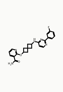 NC(=O)c1cccnc1OC1CC2(CC(Nc3ccnc(-c4cccc(F)c4)n3)C2)C1